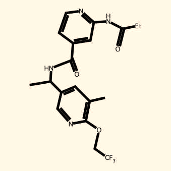 CCC(=O)Nc1cc(C(=O)NC(C)c2cnc(OCC(F)(F)F)c(C)c2)ccn1